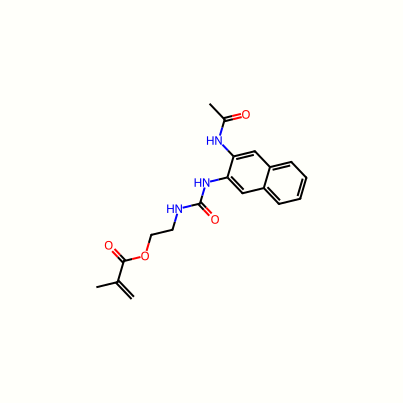 C=C(C)C(=O)OCCNC(=O)Nc1cc2ccccc2cc1NC(C)=O